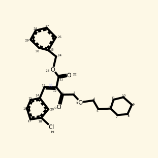 O=C(COCCC1CCCCC1)/C(=C\c1cccc(Cl)c1)C(=O)OCc1ccccc1